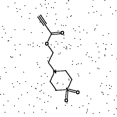 C#CC(=O)OCCN1CCS(=O)(=O)CC1